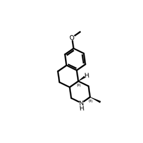 COc1ccc2c(c1)CCC1CN[C@H](C)C[C@@H]21